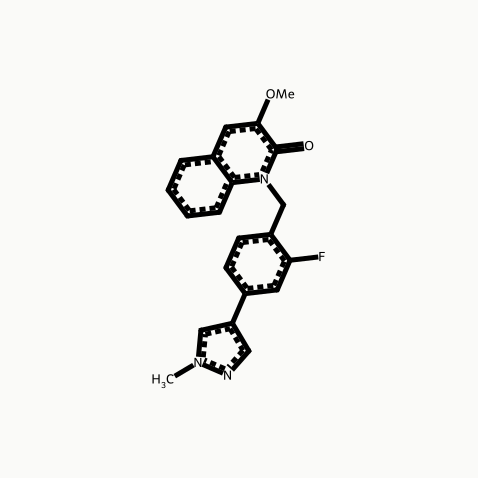 COc1cc2ccccc2n(Cc2ccc(-c3cnn(C)c3)cc2F)c1=O